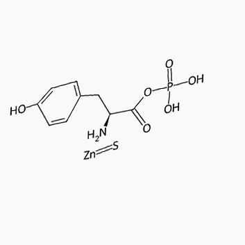 N[C@@H](Cc1ccc(O)cc1)C(=O)OP(=O)(O)O.[S]=[Zn]